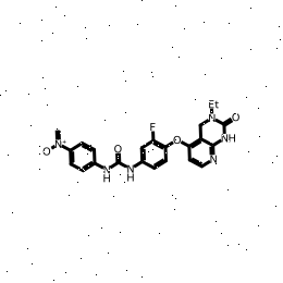 C=[N+]([O-])c1ccc(NC(=O)Nc2ccc(Oc3ccnc4c3CN(CC)C(=O)N4)c(F)c2)cc1